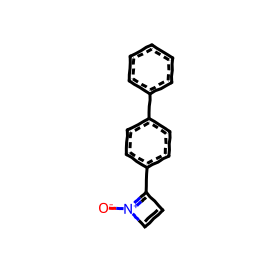 [O-][N+]1=C(c2ccc(-c3ccccc3)cc2)C=C1